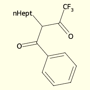 CCCCCCCC(C(=O)c1ccccc1)C(=O)C(F)(F)F